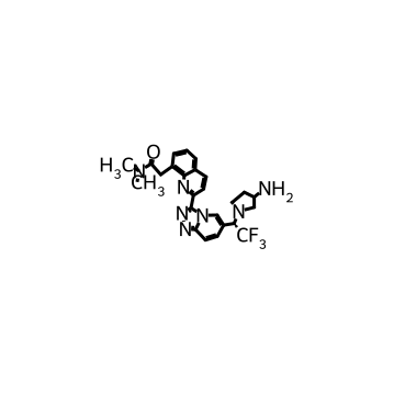 CN(C)C(=O)Cc1cccc2ccc(-c3nnc4ccc([C@@H](N5CCC(N)C5)C(F)(F)F)cn34)nc12